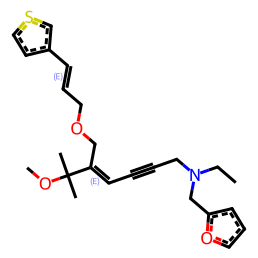 CCN(CC#C/C=C(\COC/C=C/c1ccsc1)C(C)(C)OC)Cc1ccco1